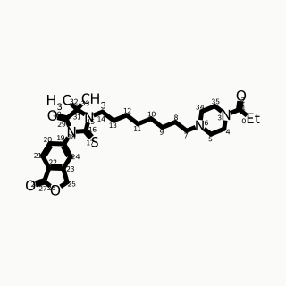 CCC(=O)N1CCN(CCCCCCCCN2C(=S)N(c3ccc4c(c3)COC4=O)C(=O)C2(C)C)CC1